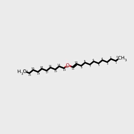 CCCCCCCCCCC=COCCCCCCCCCC